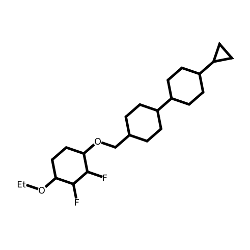 CCOC1CCC(OCC2CCC(C3CCC(C4CC4)CC3)CC2)C(F)C1F